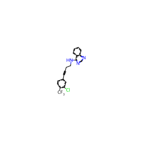 FC(F)(F)c1ccc(C#CCCNc2ncnc3ccccc23)cc1Cl